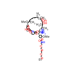 CCOCCOCCOCCOCCNC(=O)O[C@@H]1CC[C@@H](C[C@@H](N)[C@@H]2CC(N=[N+]=[N-])[C@H](C)/C=C(\C)[C@@H](O)[C@@H](O)C(=O)[C@H](C)C[C@H](C)/C=C/C=C/C=C(\C)[C@@H](OC)C[C@@H]3CC[C@@H](C)[C@@](O)(O3)C(=O)C(=O)N3CCCC[C@H]3C(=O)O2)C[C@H]1OC